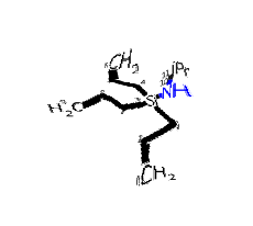 C=CC[Si](CC=C)(CC=C)NC(C)C